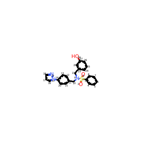 O=S(=O)(c1ccccc1)N(Cc1ccc(-n2cccn2)cc1)Cc1cccc(O)c1